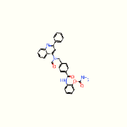 NC(=O)Oc1ccccc1NC(=O)c1ccc(CN(C=O)c2cc(-c3ccccc3)nc3ccccc23)cc1